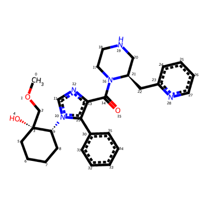 COC[C@]1(O)CCCC[C@H]1n1cnc(C(=O)N2CCNC[C@H]2Cc2ccccn2)c1-c1ccccc1